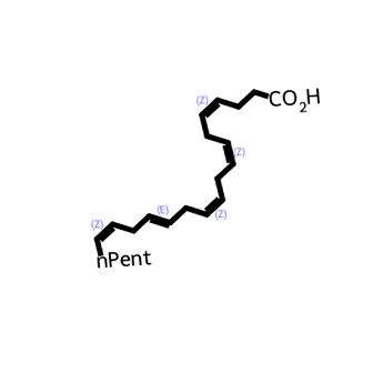 CCCCC/C=C\C/C=C/C/C=C\C/C=C\C/C=C\CCC(=O)O